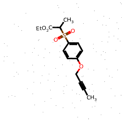 CC#CCOc1ccc(S(=O)(=O)C(C)C(=O)OCC)cc1